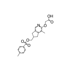 Cc1ccc(S(=O)(=O)OCC2Cc3cnc(OCC(=O)O)c(C)c3C2)cc1